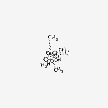 CCCCCCCC(=O)NC1(C(CCCCCC)(C(=O)O)c2cccc(C(C)C)c2)C(=O)c2cccc(N)c2C1=O